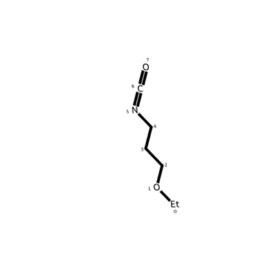 CCOCCCN=C=O